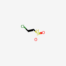 O=[SH](=O)C=CCl